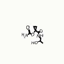 CC(O)CNC(=O)C1(OC(N)=O)CC1